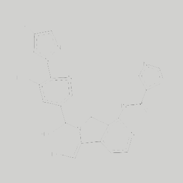 CC=C1c2ccnc(NC(=O)c3cnco3)c2CN1C(C)c1cnc(-n2cc(C(F)(F)F)cn2)c(C)c1